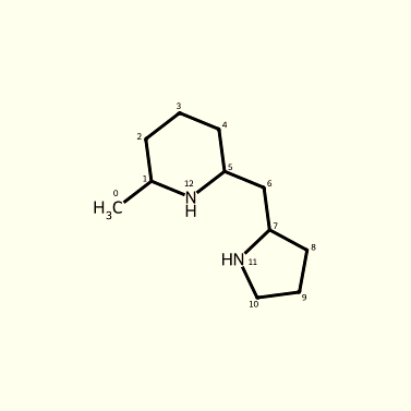 CC1CCCC(CC2CCCN2)N1